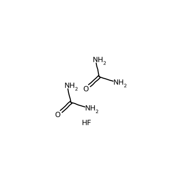 F.NC(N)=O.NC(N)=O